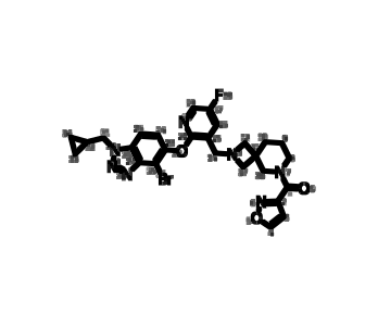 O=C(c1ccon1)N1CCCC2(CN(Cc3cc(F)cnc3Oc3ccc4c(nnn4CC4CC4)c3Br)C2)C1